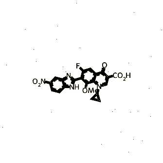 COc1c(-c2nc3cc([N+](=O)[O-])ccc3[nH]2)c(F)cc2c(=O)c(C(=O)O)cn(C3CC3)c12